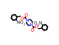 O=C(OCc1ccccc1[N+](=O)[O-])N1CCN(C(=O)OCc2ccccc2[N+](=O)[O-])CC1